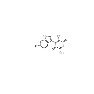 O=C1C=C(O)C(=O)C(c2c[nH]c3cc(F)ccc23)=C1O